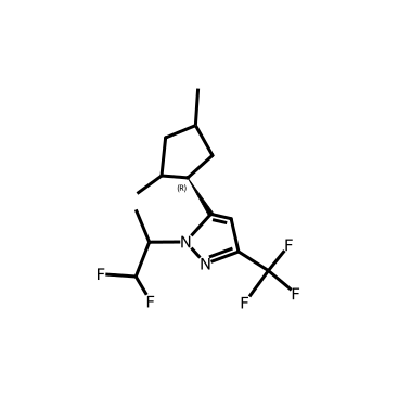 CC1CC(C)[C@H](c2cc(C(F)(F)F)nn2C(C)C(F)F)C1